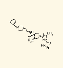 Cc1cc(C(=O)NC(C)C)nc(N2CCN(C(=O)NCCC3CCN(Cc4ccccc4)CC3)[C@H](C)C2)n1